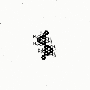 CC1(C)c2cccc3c2N2c4c1cc(-c1ccccc1)cc4C(C)(C)c1cc(-c4cc5c6c(c4)C(C)(C)c4cc(-c7ccccc7)cc7c4N6c4c(cccc4C5(C)C)C7(C)C)cc(c12)C3(C)C